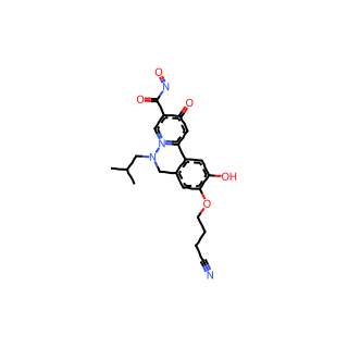 CC(C)CN1Cc2cc(OCCCC#N)c(O)cc2-c2cc(=O)c(C(=O)N=O)cn21